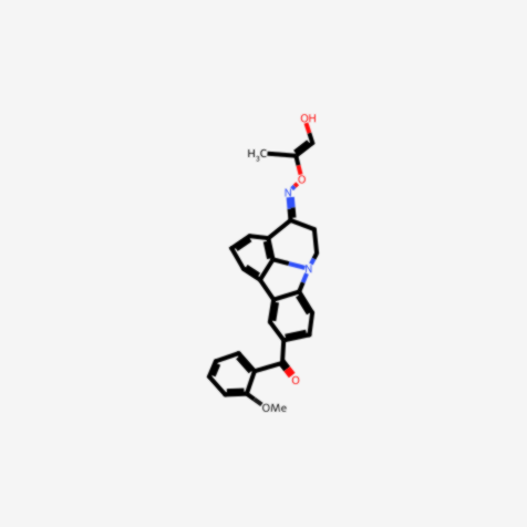 COc1ccccc1C(=O)c1ccc2c(c1)c1cccc3c1n2CC/C3=N\O/C(C)=C/O